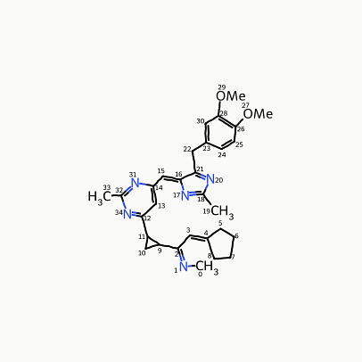 C/N=C(\C=C1CCCC1)C1CC1c1cc(/C=C2\N=C(C)N=C2Cc2ccc(OC)c(OC)c2)nc(C)n1